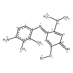 CCOC1=C/C(=N\c2ccc(N)c(C)c2C)C(N(C)C)=CC1=N